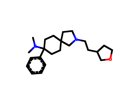 CN(C)C1(c2ccccc2)CCC2(CCN(CCC3CCOC3)C2)CC1